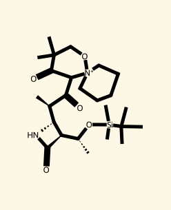 C[C@@H](O[Si](C)(C)C(C)(C)C)[C@H]1C(=O)N[C@@H]1[C@@H](C)C(=O)C1C(=O)C(C)(C)CO[N+]12CCCCC2